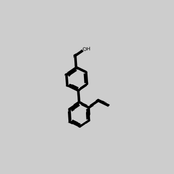 CCc1ccccc1-c1ccc(CO)cc1